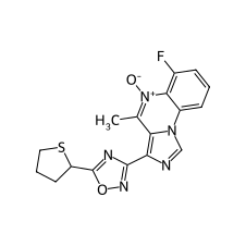 Cc1c2c(-c3noc(C4CCCS4)n3)ncn2c2cccc(F)c2[n+]1[O-]